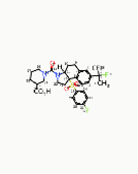 CC(F)(c1ccc2c(c1)CC[C@H]1N(C(=O)N3CCC[C@H](C(=O)O)C3)CC[C@@]21S(=O)(=O)c1ccc(F)cc1)C(F)(F)F